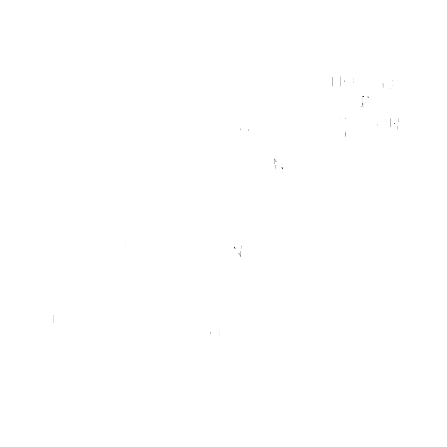 CCOc1cc(-c2ccc(F)cc2)c(C2CC2)cc1CN1CCC2(CC1)CC(=O)N(c1ccc(P(=O)(O)O)cc1)C2